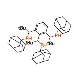 CC(C)(C)C(PC12CC3CC(CC(C3)C1)C2)c1cccc(C(PC23CC4CC(CC(C4)C2)C3)C(C)(C)C)c1C(PC12CC3CC(CC(C3)C1)C2)C(C)(C)C